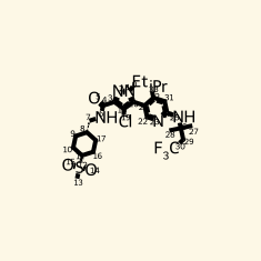 CCn1nc(C(=O)NC[C@H]2CC[C@H](S(C)(=O)=O)CC2)c(Cl)c1-c1cnc(NC(C)(C)CC(F)(F)F)cc1C(C)C